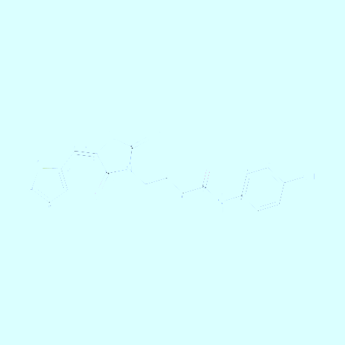 Cc1ccc(NC(=O)CCCN2C(=O)/C(=C\c3cccs3)SC2=S)cc1